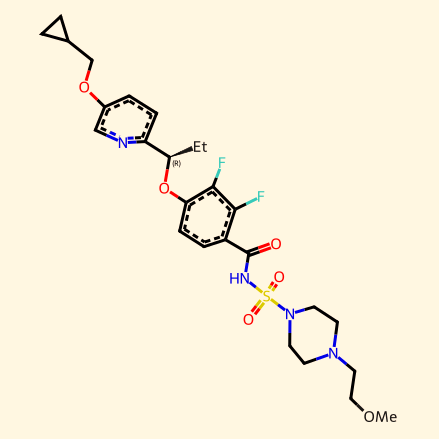 CC[C@@H](Oc1ccc(C(=O)NS(=O)(=O)N2CCN(CCOC)CC2)c(F)c1F)c1ccc(OCC2CC2)cn1